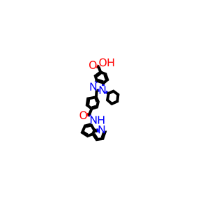 O=C(O)c1ccc2c(c1)nc(-c1ccc(C(=O)Nc3cccc4cccnc34)cc1)n2C1CCCCC1